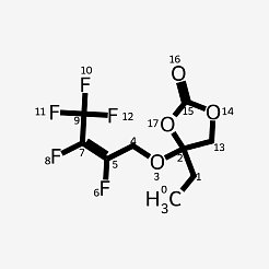 CCC1(OC/C(F)=C(/F)C(F)(F)F)COC(=O)O1